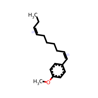 CC/C=C\CCCC/C=C\c1ccc(OC)cc1